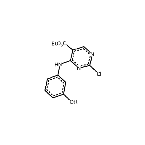 CCOC(=O)c1cnc(Cl)nc1Nc1cccc(O)c1